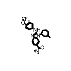 CC1CCCC(n2c(Nc3ccc(OC(F)(F)F)cc3)nc3ccc(C(=O)N(C)C)cc32)C1